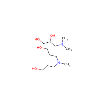 CN(C)CC(O)CO.CN(CCCO)CCCO